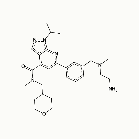 CC(C)n1ncc2c(C(=O)N(C)CC3CCOCC3)cc(-c3cccc(CN(C)CCN)c3)nc21